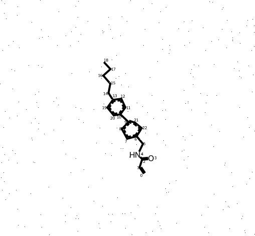 C=CC(=O)NCc1ccc(-c2ccc(CCCCC)cc2)cc1